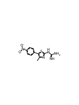 Cc1nc(NC(=N)N)sc1-c1ccc([N+](=O)[O-])cc1